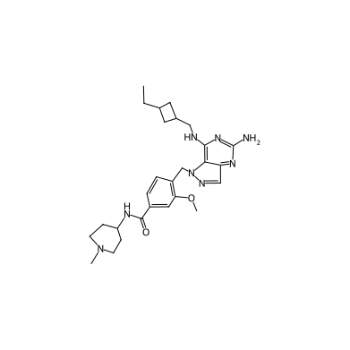 CCC1CC(CNc2nc(N)nc3cnn(Cc4ccc(C(=O)NC5CCN(C)CC5)cc4OC)c23)C1